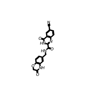 N#Cc1ccc2nc(C(=O)NCc3ccc4c(c3)NC(=O)CO4)[nH]c(=O)c2c1